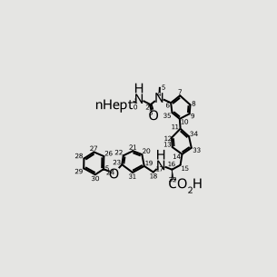 CCCCCCCNC(=O)N(C)c1cccc(-c2ccc(C[C@H](NCc3cccc(Oc4ccccc4)c3)C(=O)O)cc2)c1